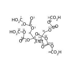 CCC(COC(=O)OC(=O)O)(OC(=O)OC(=O)O)OC(CC)(COC(=O)OC(=O)O)OC(=O)OC(=O)O